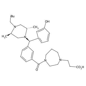 CCC(C)CN1C[C@H](C)N([C@@H](c2cccc(O)c2)c2cccc(C(=O)N3CCCN(CCC(=O)O)CC3)c2)C[C@H]1C